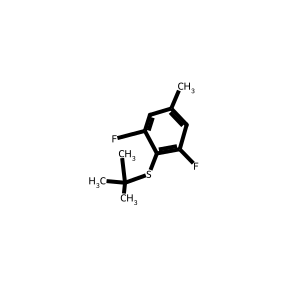 Cc1cc(F)c(SC(C)(C)C)c(F)c1